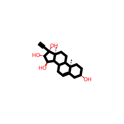 C#C[C@]1(O)[C@@H](O)[C@H](O)C2C3CC=C4C[C@@H](O)CC[C@]4(C)C3CC[C@@]21C